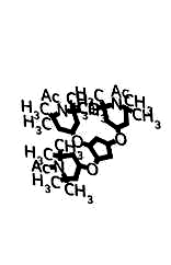 CC(=O)N1C(C)(C)CC(OC2CC(OC3CC(C)(C)N(C(C)=O)C(C)(C)C3)C(OC3CC(C)(C)N(C(C)=O)C(C)(C)C3)C2)CC1(C)C